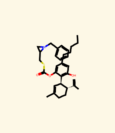 C=C(C)[C@@H]1CCC(C)=C[C@H]1c1c(O)cc(CCCCC)cc1OC(=O)SCC1CN1Cc1ccccc1